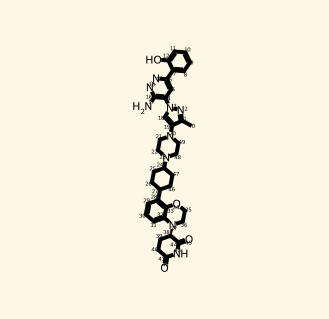 Cc1nn(-c2cc(-c3ccccc3O)nnc2N)cc1N1CCN(C2CCC(c3cccc4c3OCCN4[C@@H]3CCC(=O)NC3=O)CC2)CC1